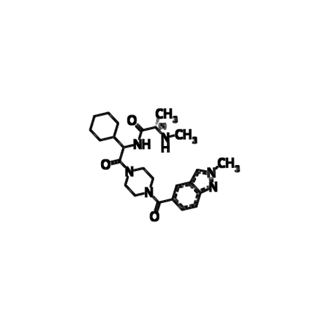 CN[C@@H](C)C(=O)NC(C(=O)N1CCN(C(=O)c2ccc3nn(C)cc3c2)CC1)C1CCCCC1